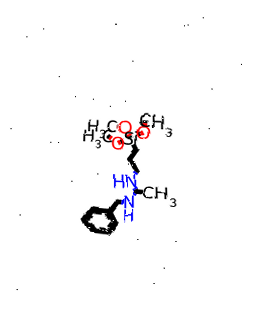 CO[Si](CCCNC(C)NCc1ccccc1)(OC)OC